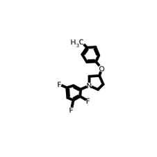 Cc1ccc(OC2CCN(c3cc(F)cc(F)c3F)C2)cc1